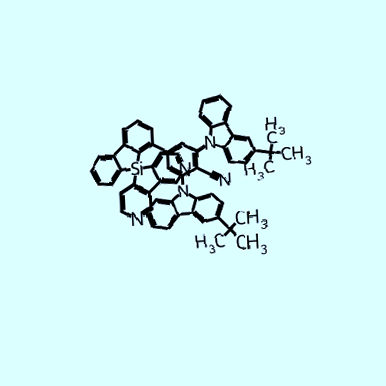 CC(C)(C)c1ccc2c(c1)c1ccccc1n2-c1cc(-c2cccc3c2[Si]2(c4ccncc4-c4cnccc42)c2ccccc2-3)cc(-n2c3ccccc3c3cc(C(C)(C)C)ccc32)c1C#N